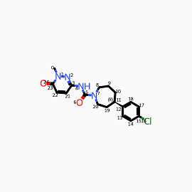 Cn1nc(NC(=O)N2CCC[C@@H](c3ccc(Cl)cc3)CC2)ccc1=O